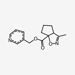 CC1=NOC2(C(=O)OCc3cccnc3)CCCC12